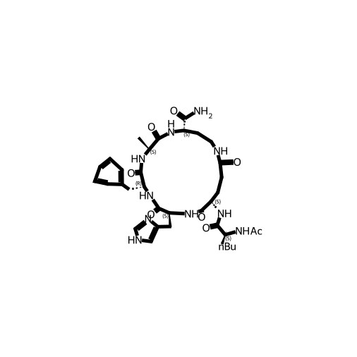 CCCC[C@H](NC(C)=O)C(=O)N[C@H]1CCC(=O)NCC[C@@H](C(N)=O)NC(=O)[C@H](C)NC(=O)[C@@H](Cc2ccccc2)NC(=O)[C@H](Cc2c[nH]cn2)NC1=O